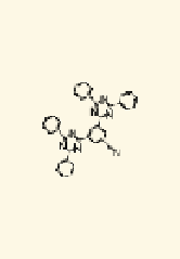 N#Cc1cc(-c2nc(-c3ccccc3)nc(-c3ccccc3)n2)cc(-c2nc(-c3ccccc3)nc(-c3ccccc3)n2)c1